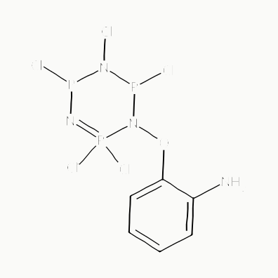 Nc1ccccc1ON1P(Cl)N(Cl)P(Cl)N=P1(Cl)Cl